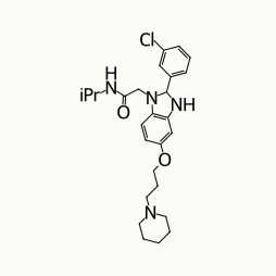 CC(C)NC(=O)CN1c2ccc(OCCCN3CCCCC3)cc2NC1c1cccc(Cl)c1